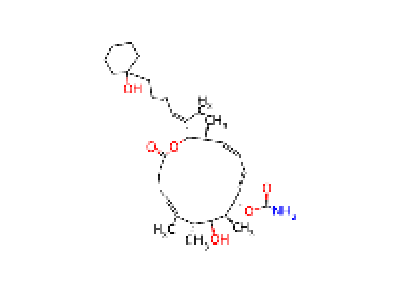 C/C1=C\CCC(=O)O[C@H](/C(C)=C/C=C/CC2(O)CCCCC2)[C@@H](C)/C=C\C=C/[C@H](OC(N)=O)[C@@H](C)[C@@H](O)[C@@H]1C